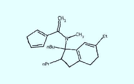 C=C(C1=CCC=C1)N(C)C1(CCCC)C2=C(CCC(CC)=C2)CC1CCC